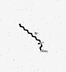 C=CCCCCCCCCC[N+](C)(C)CCCCCCCCCCCC.[Br-]